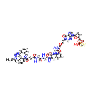 CC(C)n1nnc2c1-c1ccccc1N(C(=O)CCC(=O)NCC(=O)NCC(=O)N[C@@H](Cc1ccccc1)C(=O)NCC(=O)NCOCCn1cnc3c(ncn3[C@H]3CC[C@@H](COP(=O)(O)S)O3)c1=O)Cc1ccccc1-2